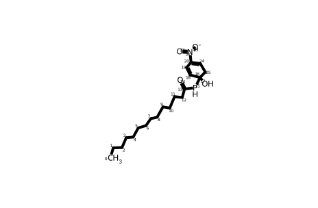 CCCCCCCCCCCCCC(=O)PC1(O)C=CC([N+](=O)[O-])=CC1